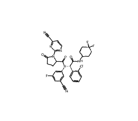 N#Cc1cc(F)cc(N(C(=O)C2CCC(=O)N2c2nccc(C#N)n2)[C@H](C(=O)NC2CCC(F)(F)CC2)c2ccccc2Cl)c1